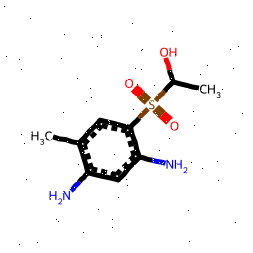 Cc1cc(S(=O)(=O)C(C)O)c(N)cc1N